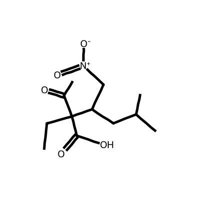 CCC(C(C)=O)(C(=O)O)C(CC(C)C)C[N+](=O)[O-]